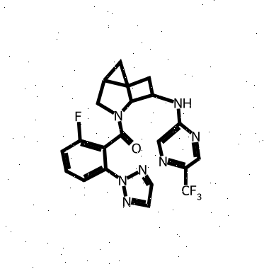 O=C(c1c(F)cccc1-n1nccn1)N1CC2CC23CC(Nc2cnc(C(F)(F)F)cn2)C13